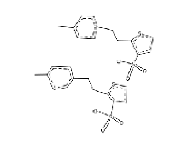 Cc1ccc(CCc2sccc2S(=O)(=O)Cl)cc1.Cc1ccc(CCc2sccc2S(=O)(=O)Cl)cc1